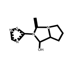 C=C1N2CCCC2C(O)N1c1ncns1